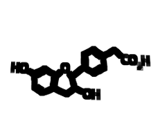 O=C(O)Cc1ccc(C2Oc3cc(O)ccc3CC2O)cc1